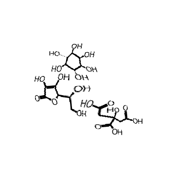 O=C(O)CC(O)(CC(=O)O)C(=O)O.O=C1O[C@H]([C@@H](O)CO)C(O)=C1O.O[C@H]1[C@H](O)[C@@H](O)[C@H](O)[C@@H](O)[C@H]1O